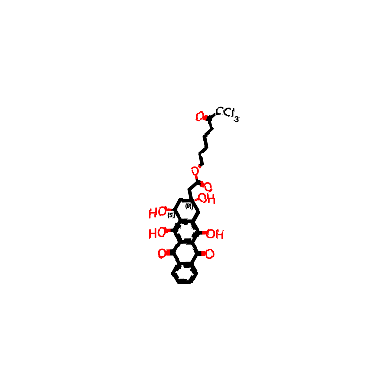 O=C(C[C@@]1(O)Cc2c(O)c3c(c(O)c2[C@@H](O)C1)C(=O)c1ccccc1C3=O)OCCCCCC(=O)C(Cl)(Cl)Cl